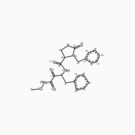 CONC(=O)C(=O)C(Cc1ccccc1)NC(=O)C1CCC(=O)N1Cc1ccccc1